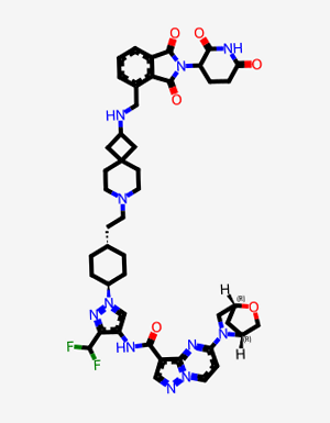 O=C1CCC(N2C(=O)c3cccc(CNC4CC5(CCN(CC[C@H]6CC[C@H](n7cc(NC(=O)c8cnn9ccc(N%10C[C@H]%11C[C@@H]%10CO%11)nc89)c(C(F)F)n7)CC6)CC5)C4)c3C2=O)C(=O)N1